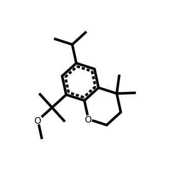 COC(C)(C)c1cc(C(C)C)cc2c1OCCC2(C)C